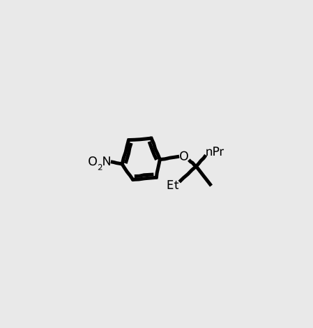 CCCC(C)(CC)Oc1ccc([N+](=O)[O-])cc1